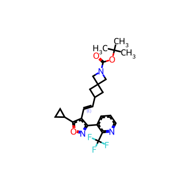 CC(C)(C)OC(=O)N1CC2(CC(/C=C/c3c(-c4cccnc4C(F)(F)F)noc3C3CC3)C2)C1